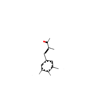 CCCCCC(=O)/C(=C/c1cc(OC)c(OC)c(OC)c1)C(C)=O